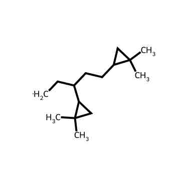 [CH2]CC(CCC1CC1(C)C)C1CC1(C)C